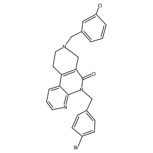 O=c1c2c(c3cccnc3n1Cc1ccc(Br)cc1)CCN(Cc1cccc(Cl)c1)C2